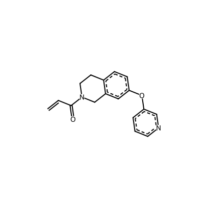 C=CC(=O)N1CCc2ccc(Oc3cccnc3)cc2C1